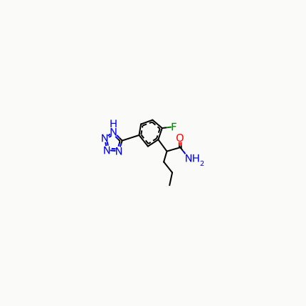 CCCC(C(N)=O)c1cc(-c2nnn[nH]2)ccc1F